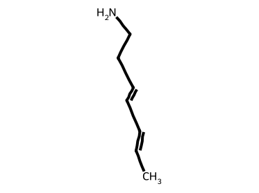 C/C=C/C=C/CCN